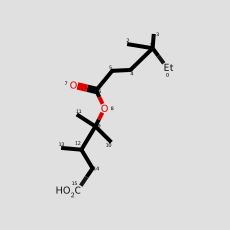 CCC(C)(C)CCC(=O)OC(C)(C)C(C)CC(=O)O